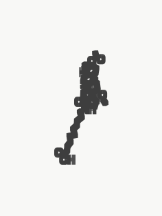 CC(=O)O[C@H]1CC[C@]2(C)C3CC[C@@H]4[C@H]5[C@H](C(C)=O)CC[C@]5(C(=O)NCCCCCCCCCCC(=O)O)CC[C@@]4(C)[C@]3(C)CC[C@H]2C1(C)C